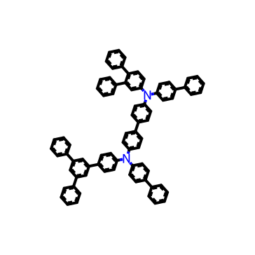 c1ccc(-c2ccc(N(c3ccc(-c4ccc(N(c5ccc(-c6ccccc6)cc5)c5ccc(-c6ccccc6)c(-c6ccccc6)c5)cc4)cc3)c3ccc(-c4cc(-c5ccccc5)cc(-c5ccccc5)c4)cc3)cc2)cc1